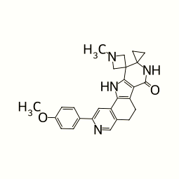 COc1ccc(-c2cc3c(cn2)CCc2c-3[nH]c3c2C(=O)NC2(CC2)C32CN(C)C2)cc1